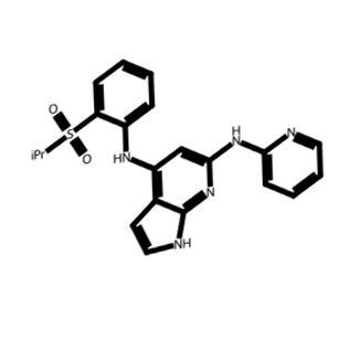 CC(C)S(=O)(=O)c1ccccc1Nc1cc(Nc2c[c]ccn2)nc2[nH]ccc12